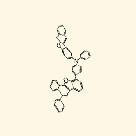 c1ccc(C2Cc3c(oc4c(-c5ccc(N(c6ccccc6)c6ccc7oc8cc9ccccc9cc8c7c6)cc5)cccc34)-c3ccccc32)cc1